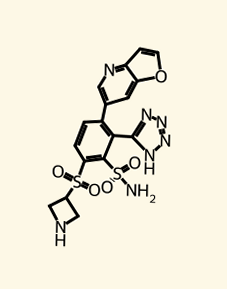 NS(=O)(=O)c1c(S(=O)(=O)C2CNC2)ccc(-c2cnc3ccoc3c2)c1-c1nnn[nH]1